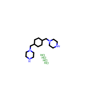 C1CN(CC2CCC(CN3CCNCC3)CC2)CCN1.Cl.Cl.Cl.Cl